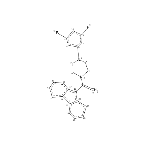 C=C(N1CCN(c2cc(F)cc(F)c2)CC1)n1c2ccccc2c2ccccc21